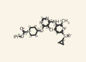 Cc1nc([S+]([O-])C2CC2)ccc1Nc1ncnc(OC2CCN(C(=O)OC(C)C)CC2)c1C